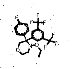 CCON1CCOC[C@]1(c1ccc(F)cc1)c1cc(C(F)(F)F)cc(C(F)(F)F)c1